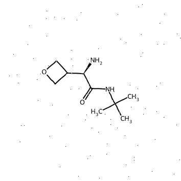 CC(C)(C)NC(=O)[C@H](N)C1COC1